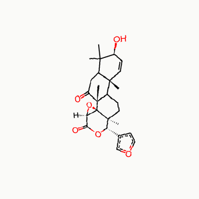 CC1(C)C2CC(=O)[C@]3(C)C(CC[C@@]4(C)[C@H](c5ccoc5)OC(=O)[C@H]5O[C@]543)[C@@]2(C)C=C[C@@H]1O